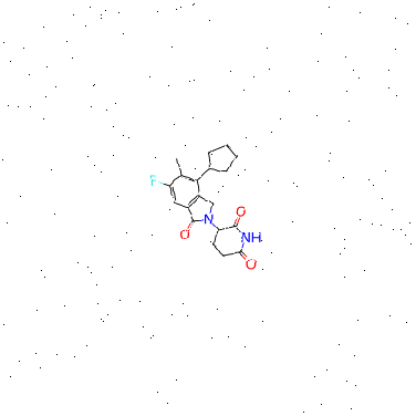 Cc1c(F)cc2c(c1C1CCCC1)CN(C1CCC(=O)NC1=O)C2=O